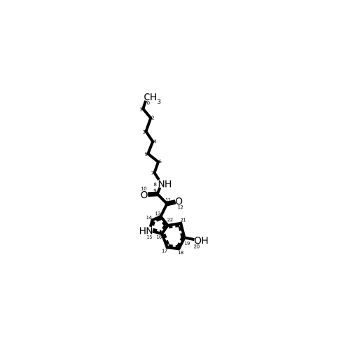 CCCCCCCCNC(=O)C(=O)c1c[nH]c2ccc(O)cc12